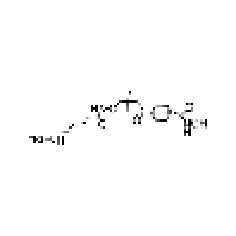 CC(C)(CONC(=O)CCCCCNC(C)(C)C)CC(=O)c1ccc(C(=O)NO)cc1